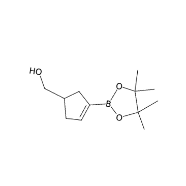 CC1(C)OB(C2=CCC(CO)C2)OC1(C)C